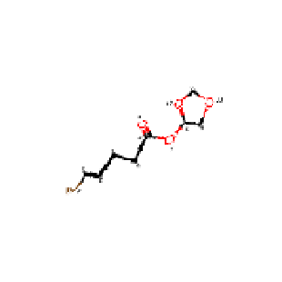 O=C(CCCCBr)OC1COCO1